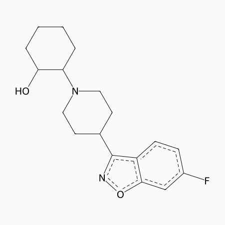 OC1CCCCC1N1CCC(c2noc3cc(F)ccc23)CC1